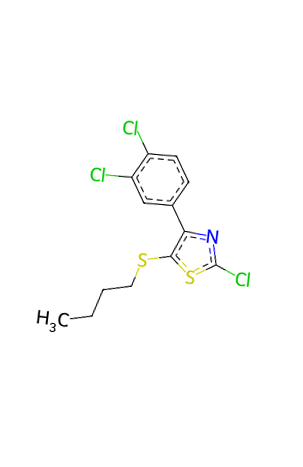 CCCCSc1sc(Cl)nc1-c1ccc(Cl)c(Cl)c1